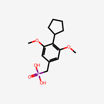 COc1cc(CP(=O)(O)O)cc(OC)c1C1CCCC1